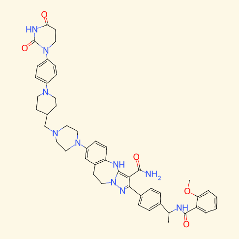 COc1ccccc1C(=O)NC(C)c1ccc(-c2nn3c(c2C(N)=O)Nc2ccc(N4CCN(CC5CCN(c6ccc(N7CCC(=O)NC7=O)cc6)CC5)CC4)cc2CC3)cc1